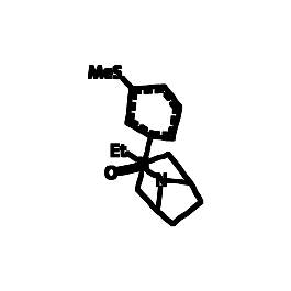 CCN1CC2CCC(C1)N2C(=O)c1cccc(SC)c1